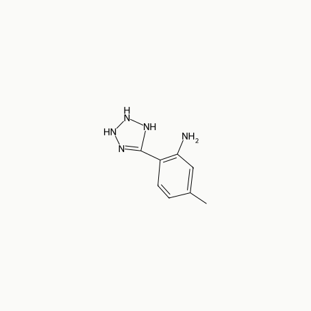 Cc1ccc(C2=NNNN2)c(N)c1